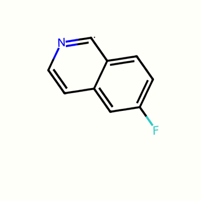 Fc1ccc2[c]nccc2c1